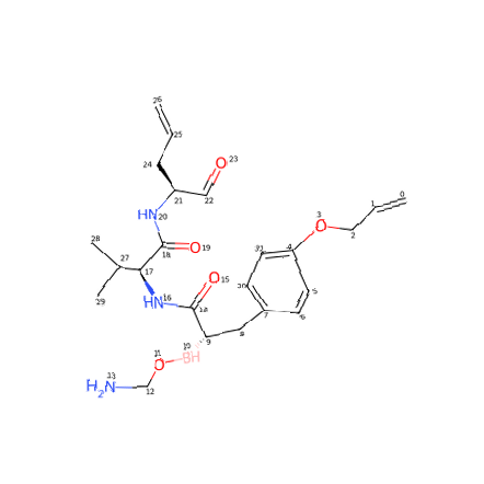 C=CCOc1ccc(C[C@H](BOCN)C(=O)N[C@H](C(=O)N[C@H](C=O)CC=C)C(C)C)cc1